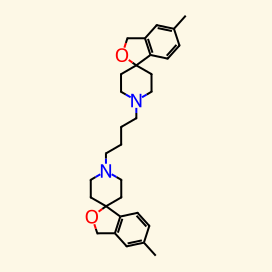 Cc1ccc2c(c1)COC21CCN(CCCCN2CCC3(CC2)OCc2cc(C)ccc23)CC1